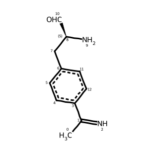 CC(=N)c1ccc(C[C@H](N)C=O)cc1